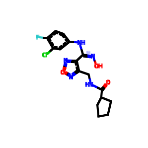 O=C(NCc1nonc1/C(=N\O)Nc1ccc(F)c(Cl)c1)C1CCCC1